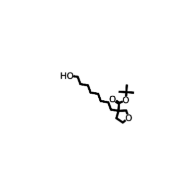 CC(C)(C)OC(=O)C1(CCCCCCCCO)CCOC1